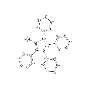 NC1=C(c2ccccc2)C(c2ccccc2)=C(c2ccccc2)C1c1ccccc1